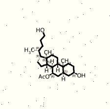 CC(=O)O[C@@H]1C[C@@H]2C[C@H](O)CC[C@]2(C)[C@H]2CC[C@]3(C)[C@@H]([C@H](C)CCCO)CC[C@H]3[C@H]12